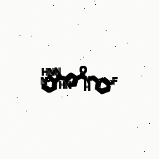 O=C(NCc1cccc(F)c1)c1c[nH]c(-c2n[nH]c3ncccc23)c1